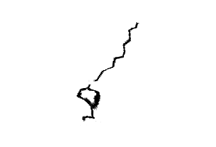 CCCCCCCCCCOc1ccc(C(=O)C=O)cc1